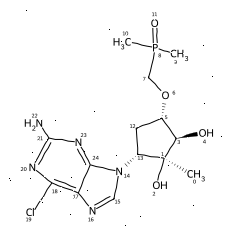 C[C@@]1(O)[C@H](O)[C@@H](OCP(C)(C)=O)C[C@H]1n1cnc2c(Cl)nc(N)nc21